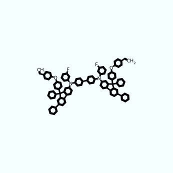 C=Cc1ccc(Oc2ccc(C3(c4ccccc4)c4cc(-c5ccccc5)ccc4-c4ccc(N(c5ccc(-c6ccc(N(c7cccc(F)c7)c7ccc8c(c7)C(c7ccccc7)(c7ccc(Oc9ccc(C=C)cc9)cc7)c7cc(-c9ccccc9)ccc7-8)cc6)cc5)c5cccc(F)c5)cc43)cc2)cc1